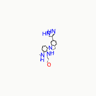 CN/C=C(\C=N)c1ccc2c(c1)N(c1cccc(NC)c1NCCC=O)CC2